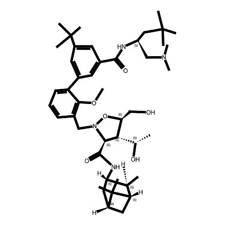 COc1c(CN2O[C@@H](CO)[C@H]([C@H](C)O)[C@H]2C(=O)N[C@H]2C[C@H]3C[C@@H]([C@@H]2C)C3(C)C)cccc1-c1cc(C(=O)N[C@H](CN(C)C)CC(C)(C)C)cc(C(C)(C)C)c1